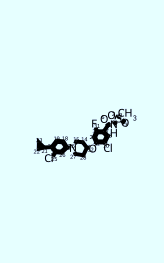 CS(=O)(=O)NC(=O)c1cc(Cl)c(OC2CCN(c3ccc(C4CC4)c(Cl)c3)CC2)cc1F